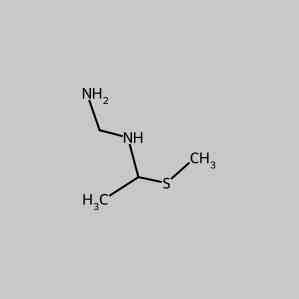 CSC(C)NCN